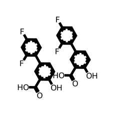 O=C(O)c1cc(-c2ccc(F)cc2F)ccc1O.O=C(O)c1cc(-c2ccc(F)cc2F)ccc1O